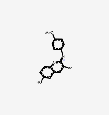 COc1ccc(/N=c2\oc3ccc(O)cc3cc2C(C)=O)cc1